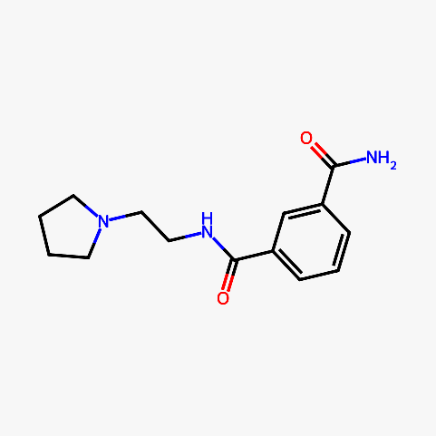 NC(=O)c1cccc(C(=O)NCCN2CCCC2)c1